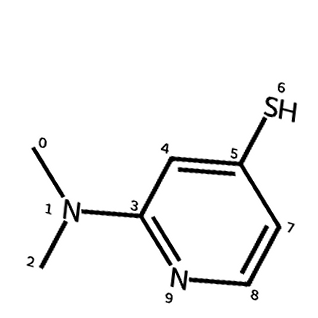 CN(C)c1cc(S)ccn1